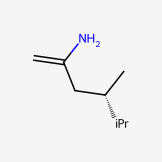 C=C(N)C[C@H](C)C(C)C